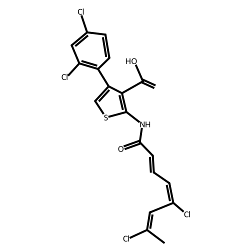 C=C(O)c1c(-c2ccc(Cl)cc2Cl)csc1NC(=O)/C=C/C=C(Cl)\C=C(/C)Cl